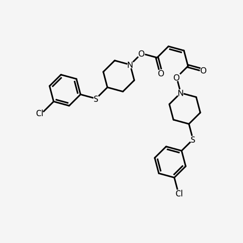 O=C(/C=C\C(=O)ON1CCC(Sc2cccc(Cl)c2)CC1)ON1CCC(Sc2cccc(Cl)c2)CC1